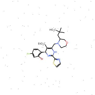 CCOC(=O)C1=C(CN2CCOCC2CC(C)(C)C(=O)O)NC(c2nccs2)=N[C@H]1c1ccc(F)cc1Br